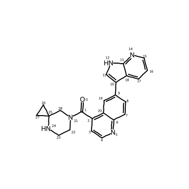 O=C(c1ccnc2ccc(-c3c[nH]c4ncccc34)cc12)N1CCNC2(CC2)C1